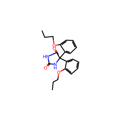 CCCOc1ccccc1C1(c2ccccc2OCCC)NC(=O)NC1=O